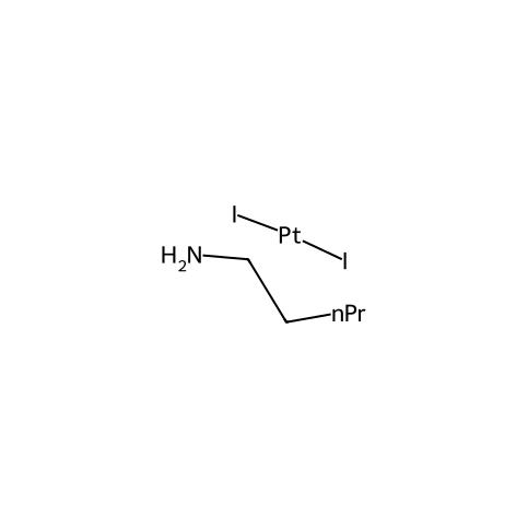 CCCCCN.[I][Pt][I]